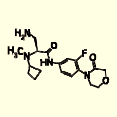 CN(C1CCC1)[C@@H](CN)C(=O)Nc1ccc(N2CCOCC2=O)c(F)c1